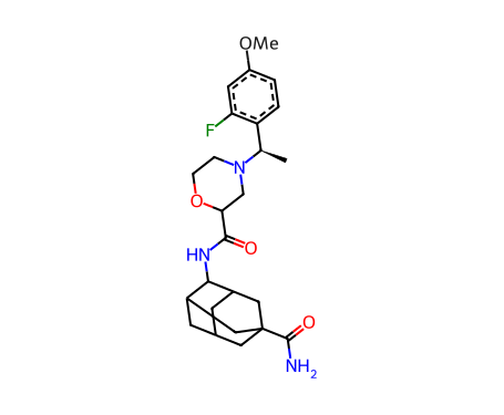 COc1ccc([C@@H](C)N2CCOC(C(=O)NC3C4CC5CC3CC(C(N)=O)(C5)C4)C2)c(F)c1